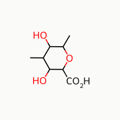 CC1OC(C(=O)O)C(O)C(C)C1O